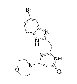 O=c1cc(N2CCOCC2)nc(Cc2nc3cc(Br)ccc3[nH]2)[nH]1